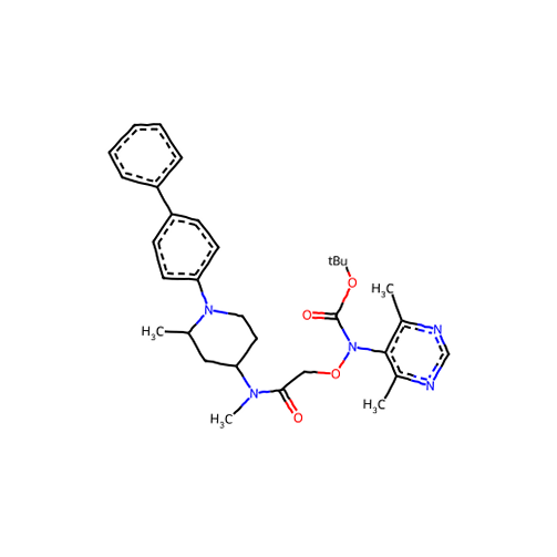 Cc1ncnc(C)c1N(OCC(=O)N(C)C1CCN(c2ccc(-c3ccccc3)cc2)C(C)C1)C(=O)OC(C)(C)C